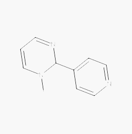 FN1C=CC=NC1c1ccncc1